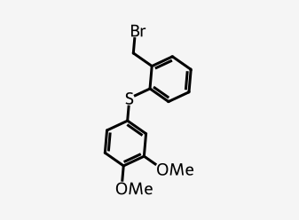 COc1ccc(Sc2ccccc2CBr)cc1OC